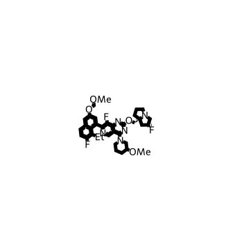 CCc1c(F)ccc2cc(OCOC)cc(-c3ncc4c(N5CCCC(OC)C5)nc(OC[C@]56CCCN5C[C@@H](F)C6)nc4c3F)c12